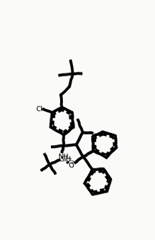 CC(C)C(C(C)(N)c1ccc(CCC(C)(C)C)c(Cl)c1)C(O[SiH2]C(C)(C)C)(c1ccccc1)c1ccccc1